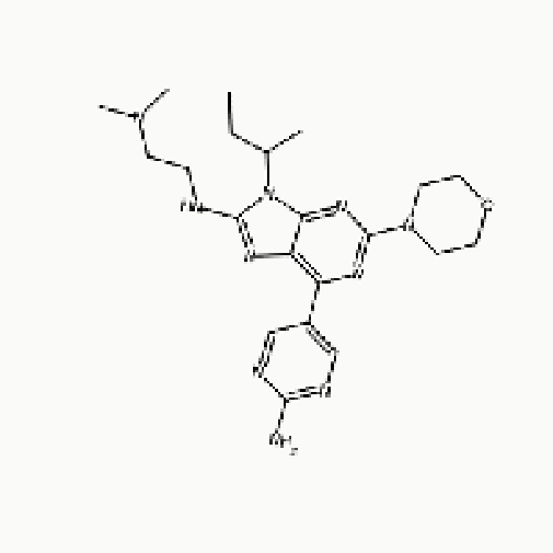 CCC(C)n1c(NCCN(C)C)nc2c(-c3cnc(N)nc3)nc(N3CCOCC3)nc21